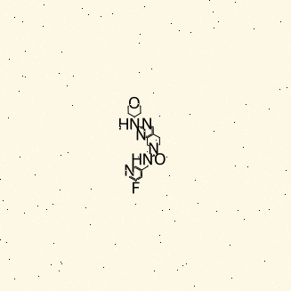 O=C(NCc1cncc(F)c1)N1CCc2cnc(NC3CCOCC3)nc2C1